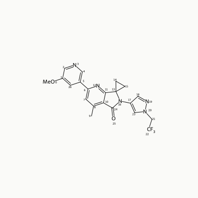 COc1cncc(-c2cc(C)c3c(n2)C2(CC2)N(c2cnn(CC(F)(F)F)c2)C3=O)c1